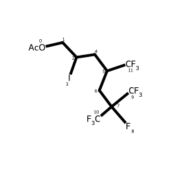 CC(=O)OCC(I)CC(CC(F)(C(F)(F)F)C(F)(F)F)C(F)(F)F